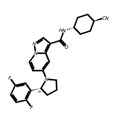 N#C[C@H]1CC[C@H](NC(=O)c2cnn3ccc(N4CCC[C@@H]4c4cc(F)ccc4F)cc23)CC1